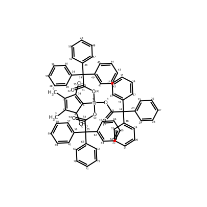 CC1=C(C)C(C)[C]([Ti]([O]C(=O)C(c2ccccc2)(c2ccccc2)c2ccccc2)([O]C(=O)C(c2ccccc2)(c2ccccc2)c2ccccc2)[O]C(=O)C(c2ccccc2)(c2ccccc2)c2ccccc2)=C1C